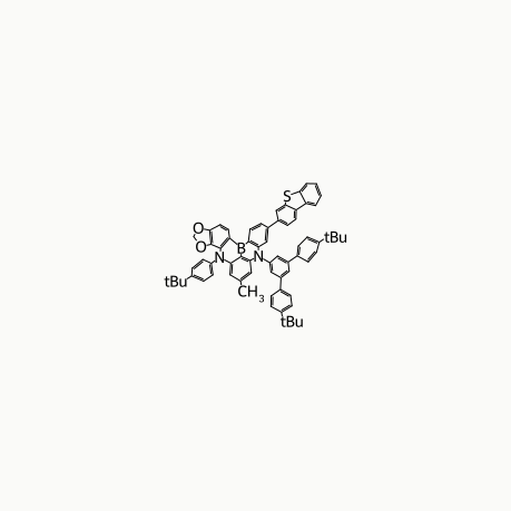 Cc1cc2c3c(c1)N(c1ccc(C(C)(C)C)cc1)c1c(ccc4c1OCO4)B3c1ccc(-c3ccc4c(c3)sc3ccccc34)cc1N2c1cc(-c2ccc(C(C)(C)C)cc2)cc(-c2ccc(C(C)(C)C)cc2)c1